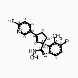 Cc1c(F)cccc1[C@@]1(C(=O)NO)C=C(c2ccc(F)nc2)CC1